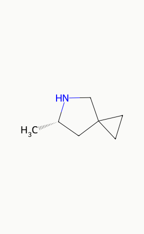 C[C@H]1CC2(CC2)CN1